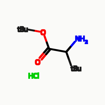 CC(C)(C)OC(=O)C(N)C(C)(C)C.Cl